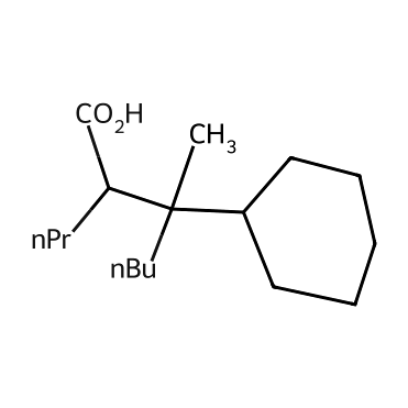 CCCCC(C)(C1CCCCC1)C(CCC)C(=O)O